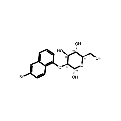 OC[C@H]1O[C@H](O)[C@@H](Oc2cccc3cc(Br)ccc23)[C@@H](O)[C@@H]1O